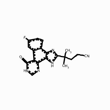 CC(C)(CCC#N)c1nc2c3ccc(F)cc3c3c(=O)[nH]cnc3c2[nH]1